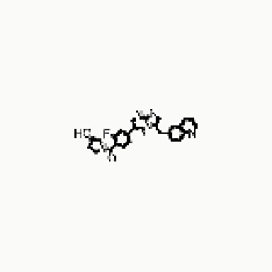 O=C(c1ccc(-c2cnc3ncc(Cc4ccc5ncccc5c4)n3n2)cc1F)N1CC[C@@H](O)C1